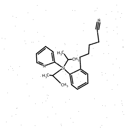 CC(C)[Si](c1ccccn1)(c1ccccc1CCCCC#N)C(C)C